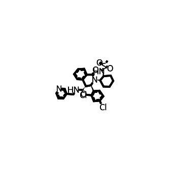 CS(=O)(=O)N[C@H]1CCCC[C@@H]1N1C(=O)c2ccccc2[C@@H](C(=O)NCc2cccnc2)[C@@H]1c1ccc(Cl)cc1Cl